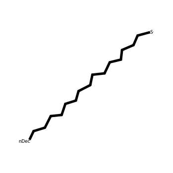 CCCCCCCCCCCCCCCCCCCCCCCCC[S]